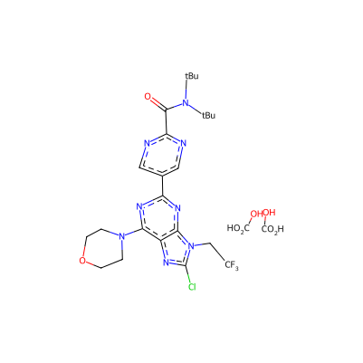 CC(C)(C)N(C(=O)c1ncc(-c2nc(N3CCOCC3)c3nc(Cl)n(CC(F)(F)F)c3n2)cn1)C(C)(C)C.O=C(O)O.O=C(O)O